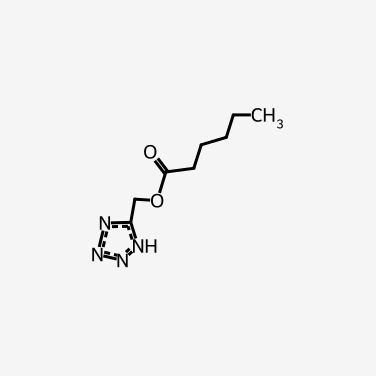 CCCCCC(=O)OCc1nnn[nH]1